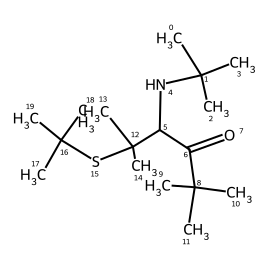 CC(C)(C)NC(C(=O)C(C)(C)C)C(C)(C)SC(C)(C)C